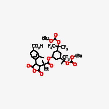 CCC(C)(C(=O)OC1CC(C(C)(OC(=O)OC(C)(C)C)C(F)(F)F)CC(C(OC(=O)OC(C)(C)C)(C(F)(F)F)C(F)(F)F)C1)C1C(=O)OC(=O)C1C1C2CC(C(=O)O)C(C2)C1C